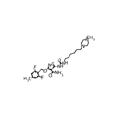 Cc1cc(F)c(COc2nsc(NC(=O)NCCCCCCN3CCN(C)CC3)c2C(N)=O)c(F)c1